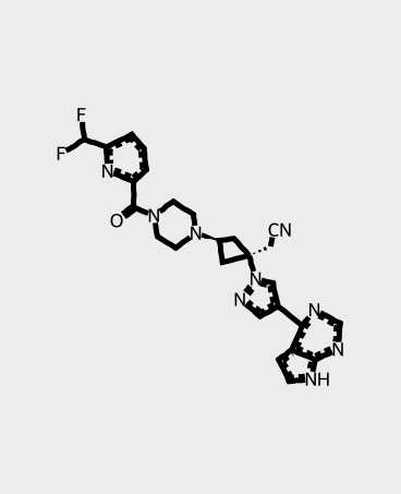 N#CC[C@]1(n2cc(-c3ncnc4[nH]ccc34)cn2)C[C@@H](N2CCN(C(=O)c3cccc(C(F)F)n3)CC2)C1